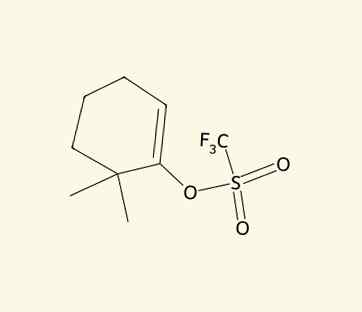 CC1(C)CCCC=C1OS(=O)(=O)C(F)(F)F